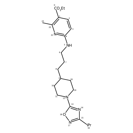 CCOC(=O)c1ccc(NCCCC2CCN(c3nc(C(C)C)no3)CC2)nc1C